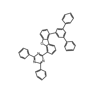 c1ccc(-c2cc(-c3ccccc3)cc(-c3cccc4oc5c(-c6nc(-c7ccccc7)nc(-c7ccccc7)n6)cccc5c34)c2)cc1